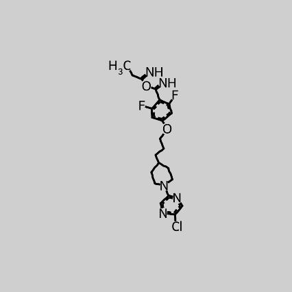 CCC(=N)OC(=N)c1c(F)cc(OCCCC2CCN(c3cnc(Cl)cn3)CC2)cc1F